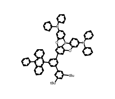 CC(C)(C)c1cc(-c2cc(-c3cc4c5c(c3)Oc3cc(N(c6ccccc6)c6ccccc6)ccc3B5c3ccc(N(c5ccccc5)c5ccccc5)cc3O4)cc(-c3c4ccccc4c(-c4ccccc4)c4ccccc34)c2)cc(C(C)(C)C)c1